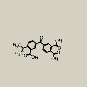 CC(C)c1ccc(C(=O)c2ccc(C(=O)O)c(C(=O)O)c2)cc1C(=O)O